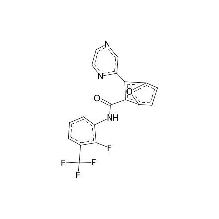 O=C(Nc1cccc(C(F)(F)F)c1F)c1c(-c2cnccn2)c2ccc1o2